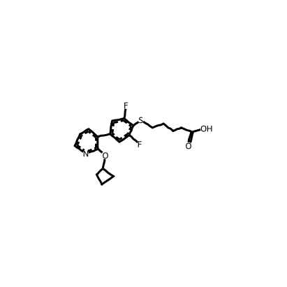 O=C(O)CCCCSc1c(F)cc(-c2cccnc2OC2CCC2)cc1F